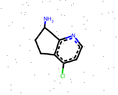 NC1CCc2c(Cl)ccnc21